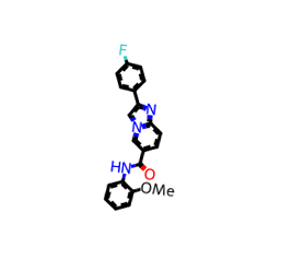 COc1ccccc1NC(=O)c1ccc2nc(-c3ccc(F)cc3)cn2c1